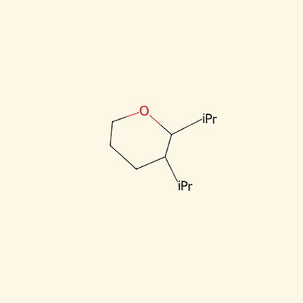 CC(C)C1CCCOC1C(C)C